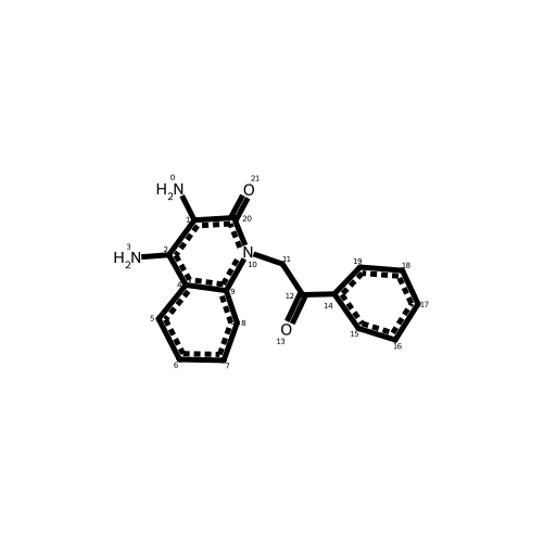 Nc1c(N)c2ccccc2n(CC(=O)c2ccccc2)c1=O